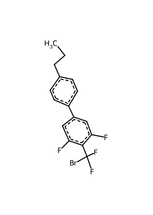 CCCc1ccc(-c2cc(F)c(C(F)(F)Br)c(F)c2)cc1